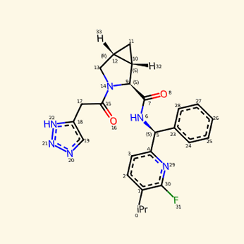 CC(C)c1ccc([C@@H](NC(=O)[C@@H]2[C@H]3C[C@H]3CN2C(=O)Cc2cnn[nH]2)c2ccccc2)nc1F